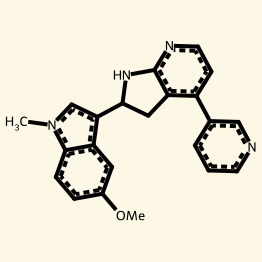 COc1ccc2c(c1)c(C1Cc3c(-c4cccnc4)ccnc3N1)cn2C